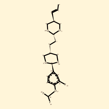 CC=C[C@H]1CO[C@H](CC[C@H]2CO[C@H](c3ccc(OC(F)F)c(F)c3)OC2)OC1